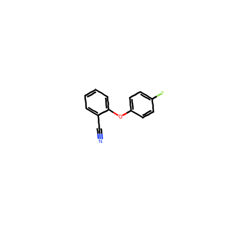 N#Cc1cc[c]cc1Oc1ccc(F)cc1